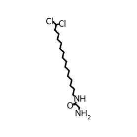 NCC(=O)NCCCCCCCCCCCCCCCC(Cl)Cl